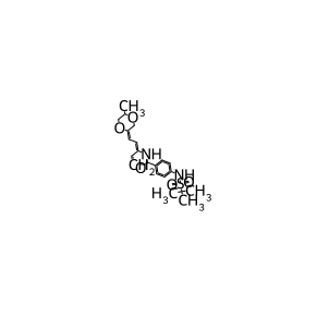 C=C/C(=C\C=C1/COC(C)CO1)NC(=O)c1ccc(NS(=O)(=O)C(C)(C)C)cc1